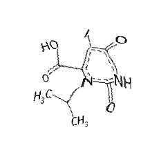 CC(C)n1c(C(=O)O)c(I)c(=O)[nH]c1=O